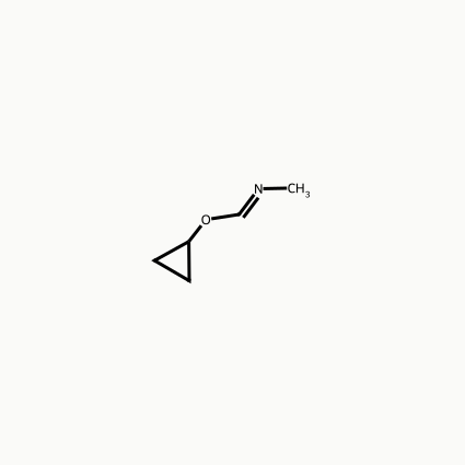 C/N=C/OC1CC1